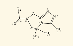 Cc1nnc2n1C(C)(C)CN(C(=O)C(C)C)C2